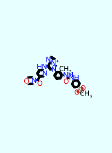 Cc1c(NC(=O)NC2CCC(S(C)(=O)=O)CC2)cccc1N1C=C(Nc2ccc(C(=O)N3CCOCC3)cn2)C2=NC=C[N+]2C1